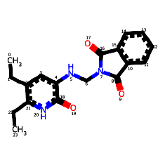 CCc1cc(NCN2C(=O)c3ccccc3C2=O)c(=O)[nH]c1CC